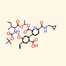 C=Cc1cc(C(=O)O)c(-c2ccc(C(=O)NCC3CC3)nc2C(=O)OC(C)OC(=O)[C@@H](NC(=O)OC(C)(C)C)[C@@H](C)CC)cc1OC